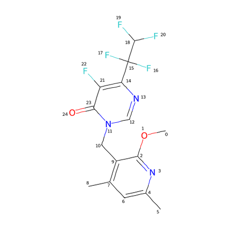 COc1nc(C)cc(C)c1Cn1cnc(C(F)(F)C(F)F)c(F)c1=O